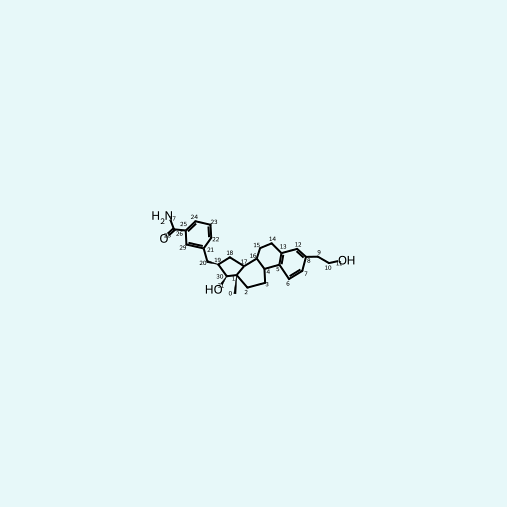 C[C@]12CCC3c4ccc(CCO)cc4CCC3C1C[C@H](Cc1cccc(C(N)=O)c1)[C@@H]2O